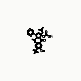 COc1cc(C(=O)N2[C@@H](C(C)C)[C@@H](c3cnccn3)C[C@]2(CC(C)C)OC(=O)O)ccc1C(C)(C)C